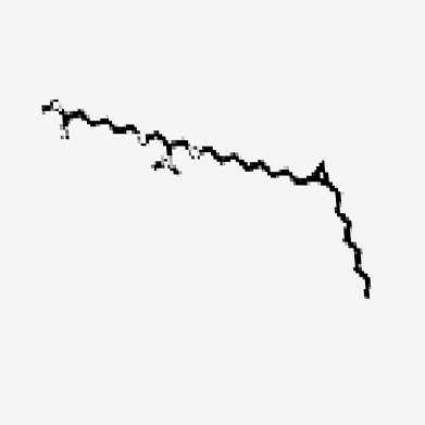 CCCCCCCCC1CC1CCCCCCCCOCC(COCCCCCC(=O)OC)N(C)C